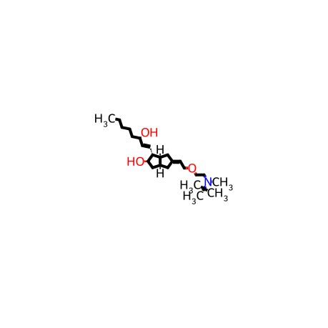 CCCCC[C@H](O)/C=C/[C@@H]1[C@H]2C/C(=C/COCCN(C)C(C)(C)C)C[C@H]2C[C@H]1O